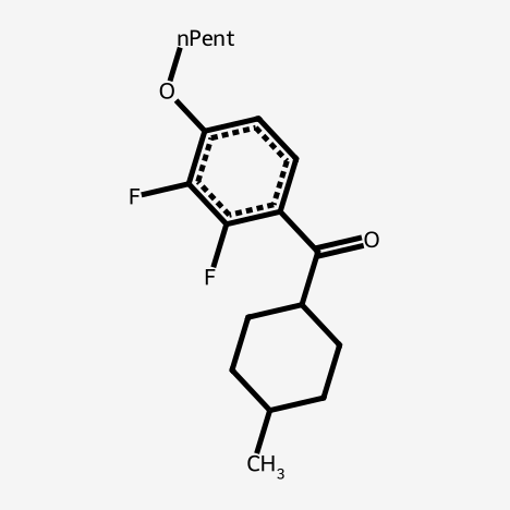 CCCCCOc1ccc(C(=O)C2CCC(C)CC2)c(F)c1F